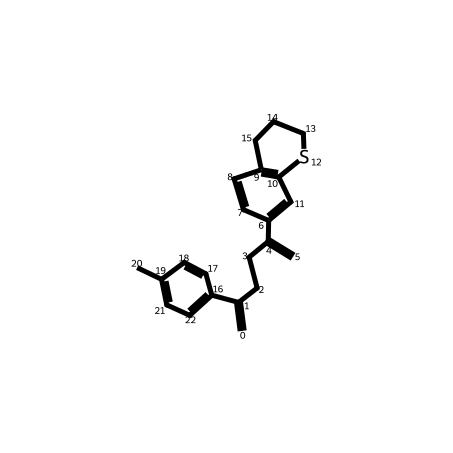 C=C(CCC(=C)c1ccc2c(c1)SCCC2)c1ccc(C)cc1